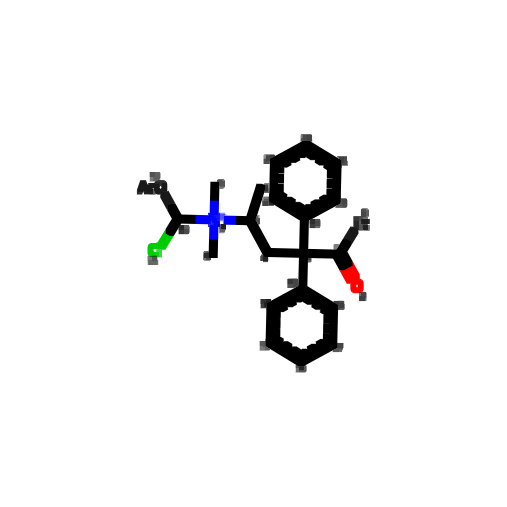 CCC(=O)C(CC(C)[N+](C)(C)C(Cl)OC(C)=O)(c1ccccc1)c1ccccc1